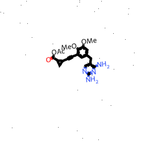 COc1cc(Cc2cnc(N)nc2N)cc(C#CC2CC2C(=O)OC(C)=O)c1OC